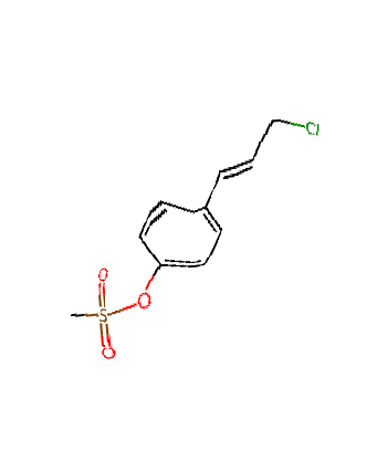 CS(=O)(=O)Oc1ccc(/C=C/CCl)cc1